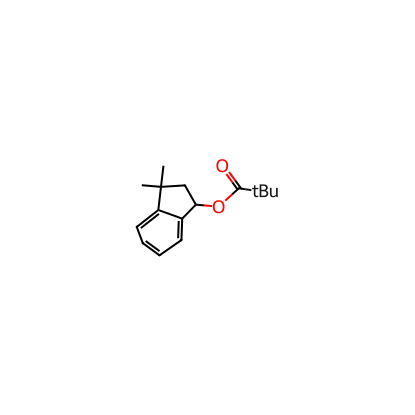 CC(C)(C)C(=O)OC1CC(C)(C)c2ccccc21